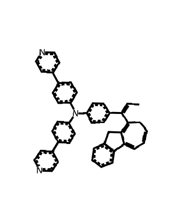 C/C=C(\C1=C2Cc3ccccc3C2=CC=CC1)c1ccc(N(c2ccc(-c3ccncc3)cc2)c2ccc(-c3ccncc3)cc2)cc1